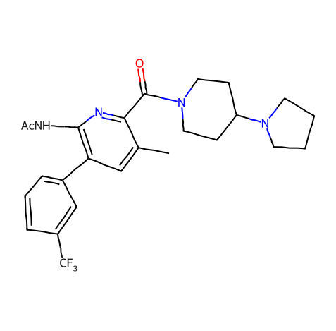 CC(=O)Nc1nc(C(=O)N2CCC(N3CCCC3)CC2)c(C)cc1-c1cccc(C(F)(F)F)c1